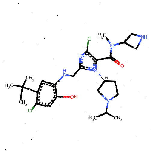 CC(C)N1CC[C@@H](n2c(CNc3cc(C(C)(C)C)c(Cl)cc3O)nc(Cl)c2C(=O)N(C)C2CNC2)C1